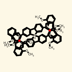 COc1ccccc1N(c1ccc2c(c1)[PH]1(c3cc(N(c4ccccc4OC)c4ccccc4OC)ccc3-2)c2cc(N(c3ccccc3OC)c3ccccc3OC)ccc2-c2ccc(N(c3ccccc3OC)c3ccccc3OC)cc21)c1ccccc1OC